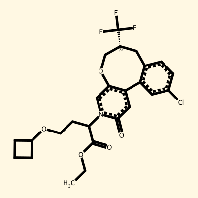 CCOC(=O)C(CCOC1CCC1)n1cc2c(cc1=O)-c1cc(Cl)ccc1C[C@@H](C(F)(F)F)CO2